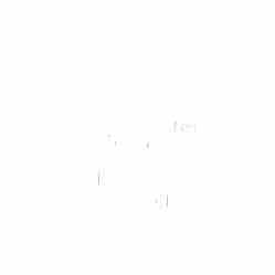 C[C@H]1CNC[C@]1(C)NC(=O)OC(C)(C)C